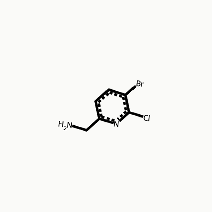 NCc1ccc(Br)c(Cl)n1